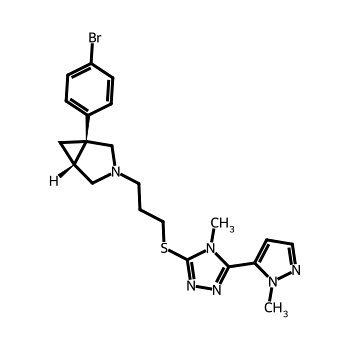 Cn1nccc1-c1nnc(SCCCN2C[C@@H]3C[C@]3(c3ccc(Br)cc3)C2)n1C